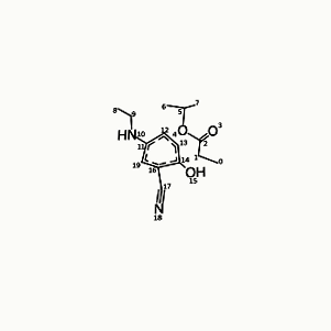 CCC(=O)OC(C)C.CCNc1ccc(O)c(C#N)c1